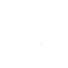 CC1(Oc2cc3c(C(F)(F)F)cccc3c(OC3(C)CCCCC3)c2C(=O)O)CCCCC1